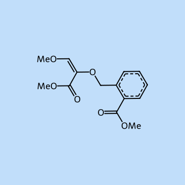 COC=C(OCc1ccccc1C(=O)OC)C(=O)OC